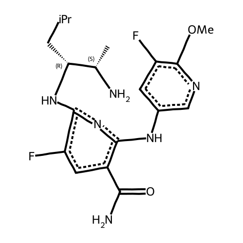 COc1ncc(Nc2nc(N[C@H](CC(C)C)[C@H](C)N)c(F)cc2C(N)=O)cc1F